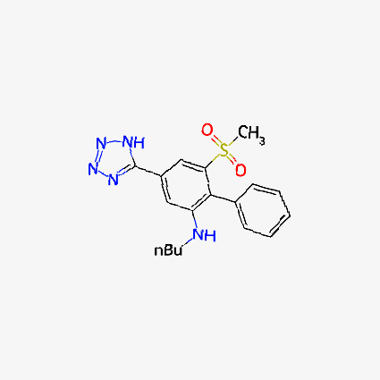 CCCCNc1cc(-c2nnn[nH]2)cc(S(C)(=O)=O)c1-c1ccccc1